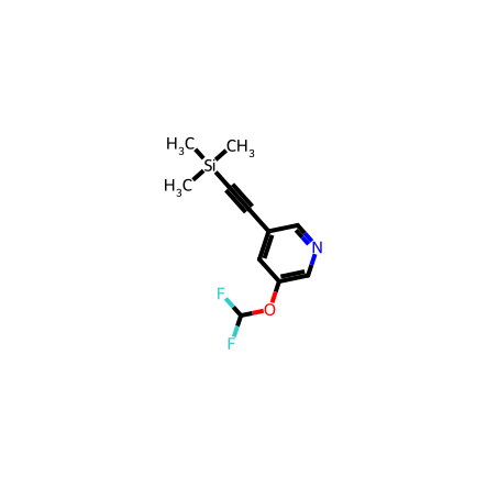 C[Si](C)(C)C#Cc1cncc(OC(F)F)c1